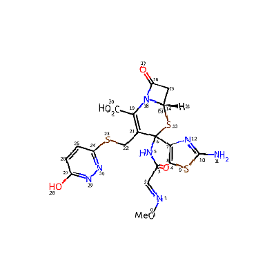 CON=CC(=O)NC1(c2csc(N)n2)S[C@H]2CC(=O)N2C(C(=O)O)=C1CSc1ccc(O)nn1